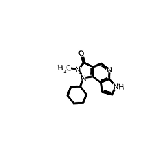 Cn1c(=O)c2cnc3[nH]ccc3c2n1C1CCCCC1